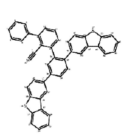 N#Cc1c(-c2ccccc2)cccc1-c1cc(-c2ccc3sc4ccccc4c3c2)ccc1-c1ccc2sc3ccccc3c2c1